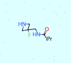 CC(C)C(=O)NCC1(F)CNC1